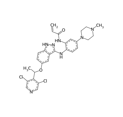 C=CC(=O)Nc1cc(N2CCN(C)CC2)ccc1Nc1n[nH]c2ccc(OC(C)c3c(Cl)cncc3Cl)cc12